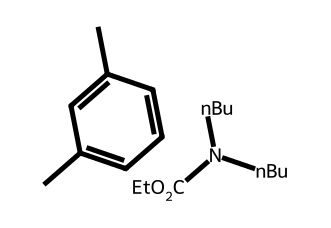 CCCCN(CCCC)C(=O)OCC.Cc1cccc(C)c1